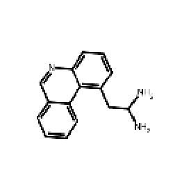 NC(N)Cc1cccc2ncc3ccccc3c12